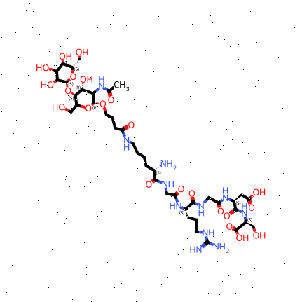 CC(=O)NC1[C@H](OCCCC(=O)NCCCC[C@H](N)C(=O)NCC(=O)N[C@@H](CCCNC(=N)N)C(=O)NCC(=O)N[C@@H](CC(=O)O)C(=O)N[C@@H](CO)C(=O)O)OC(CO)[C@@H](O[C@@H]2O[C@@H](CO)[C@H](O)C(O)C2O)[C@@H]1O